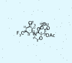 CC(=O)OC(C(=O)OC(C)(C)C)C1OCCN(c2cc(C(F)(F)F)cc(C(F)(F)F)c2)C1=O